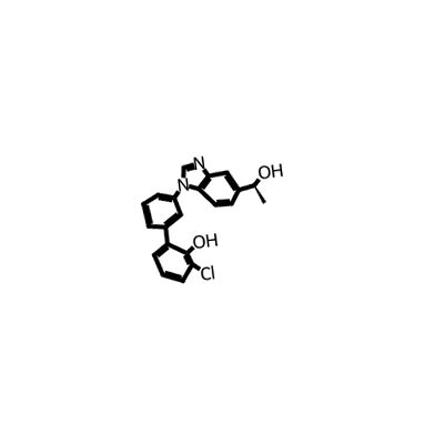 C[C@H](O)c1ccc2c(c1)ncn2-c1cccc(-c2cccc(Cl)c2O)c1